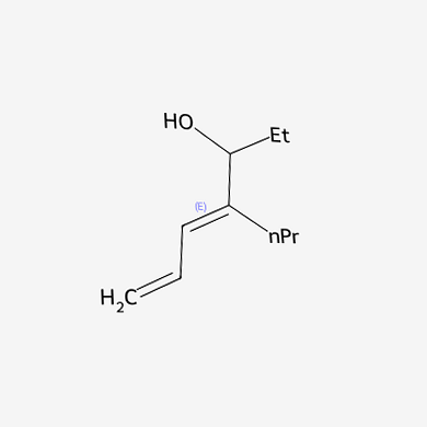 C=C/C=C(\CCC)C(O)CC